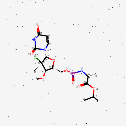 CO[C@@H]1[C@@H](CO[PH](=O)N[C@H](C)C(=O)OC(C)C)O[C@@H](n2ccc(=O)[nH]c2=O)[C@]1(C)Cl